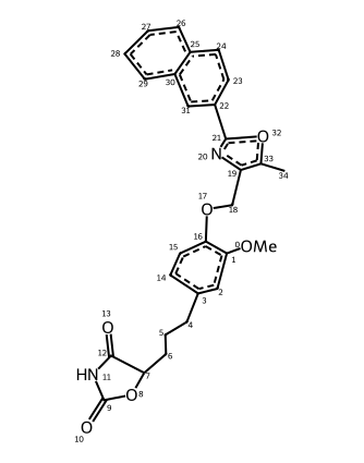 COc1cc(CCCC2OC(=O)NC2=O)ccc1OCc1nc(-c2ccc3ccccc3c2)oc1C